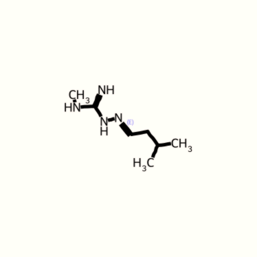 CNC(=N)N/N=C/CC(C)C